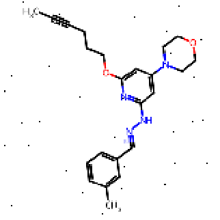 CC#CCCCOc1cc(N2CCOCC2)cc(N/N=C/c2cccc(C)c2)n1